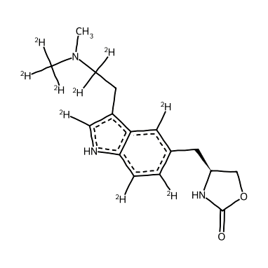 [2H]c1[nH]c2c([2H])c([2H])c(C[C@H]3COC(=O)N3)c([2H])c2c1CC([2H])([2H])N(C)C([2H])([2H])[2H]